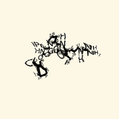 CC(C)[C@H](NC(=O)OCc1ccccc1Cl)C(=O)N1CCC[C@H]1C(O)N[C@@H](CCCNC(=N)N)C(=O)CF